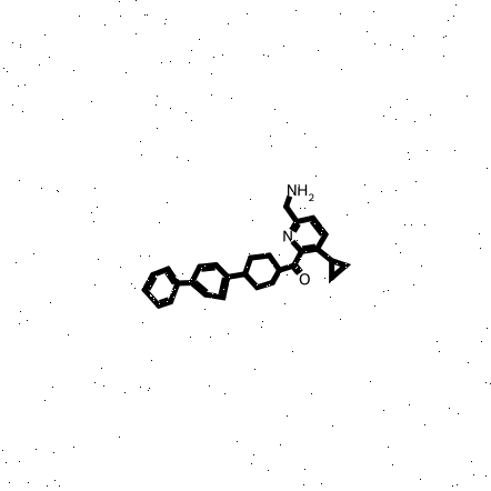 NCc1ccc(C2CC2)c(C(=O)C2CCC(c3ccc(-c4ccccc4)cc3)CC2)n1